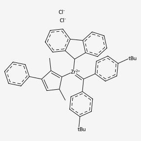 CC1=[C]([Zr+2](=[C](c2ccc(C(C)(C)C)cc2)c2ccc(C(C)(C)C)cc2)[CH]2c3ccccc3-c3ccccc32)C(C)C=C1c1ccccc1.[Cl-].[Cl-]